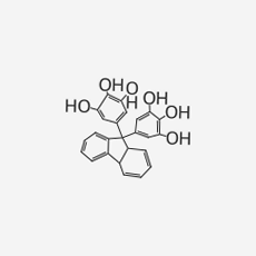 Oc1cc(C2(c3cc(O)c(O)c(O)c3)c3ccccc3C3C=CC=CC32)cc(O)c1O